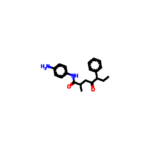 CCC(C(=O)CC(C)C(=O)Nc1ccc(N)cc1)c1ccccc1